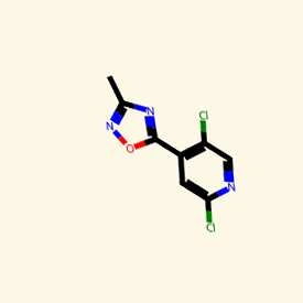 Cc1noc(-c2cc(Cl)ncc2Cl)n1